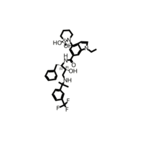 CCn1ccc2c(N3CCCCS3(O)O)cc(C(=O)N[C@@H](Cc3ccccc3)[C@H](O)CNC(C)(C)c3cccc(C(F)(F)F)c3)cc21